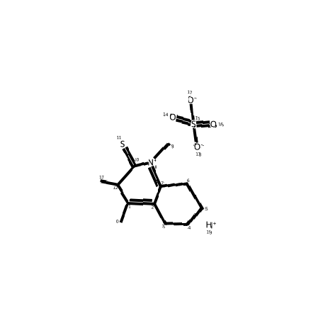 CC1=C2CCCCC2=[N+](C)C(=S)C1C.O=S(=O)([O-])[O-].[H+]